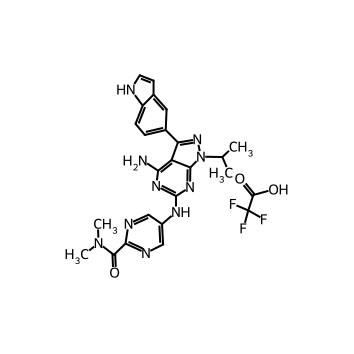 CC(C)n1nc(-c2ccc3[nH]ccc3c2)c2c(N)nc(Nc3cnc(C(=O)N(C)C)nc3)nc21.O=C(O)C(F)(F)F